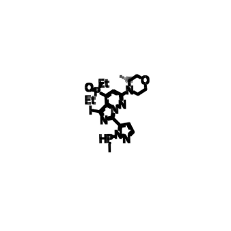 CCP(=O)(CC)c1cc(N2CCOC[C@H]2C)nn2c(-c3ccnn3PI)nc(I)c12